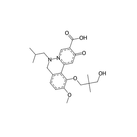 COc1ccc2c(c1OCC(C)(C)CO)-c1cc(=O)c(C(=O)O)cn1N(CC(C)C)C2